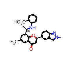 C[C@@H](Nc1ccccc1C(=O)O)c1cc(C(F)(F)F)cc2c(=O)cc(-c3ccc4nn(C)cc4c3)oc12